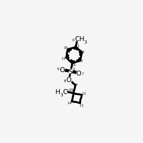 Cc1ccc(S(=O)(=O)OCC2(C)CCC2)cc1